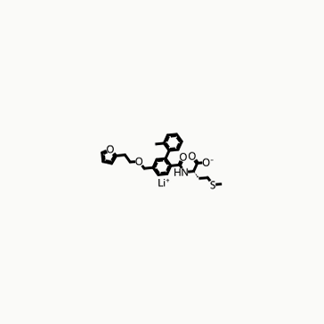 CSCC[C@H](NC(=O)c1ccc(COCCc2ccco2)cc1-c1ccccc1C)C(=O)[O-].[Li+]